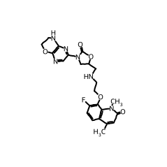 Cc1cc(=O)n(C)c2c(OCCNCC3CN(c4cnc5c(n4)NCCO5)C(=O)O3)c(F)ccc12